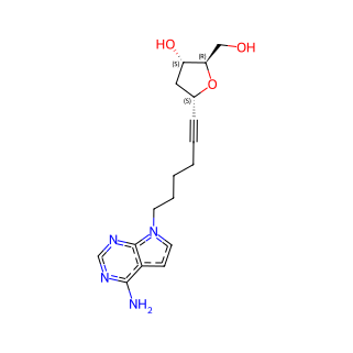 Nc1ncnc2c1ccn2CCCCC#C[C@@H]1C[C@H](O)[C@@H](CO)O1